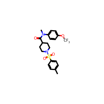 Cc1ccc(S(=O)(=O)N2CCC(C(=O)N(C)c3ccc(OC(F)(F)F)cc3)CC2)cc1